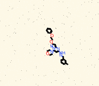 Cc1cccc(C=NNc2cc(N3CCOCC3)n3nc(OCCOc4ccccc4)cc3n2)c1